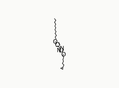 CCCCCCCCCCCCOc1ccc(-c2ncc(OCCCCCCC3CC3)cn2)cc1